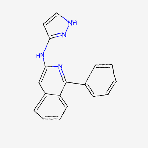 c1ccc(-c2nc(Nc3cc[nH]n3)cc3ccccc23)cc1